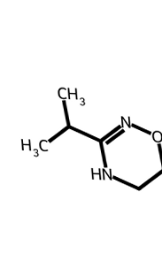 CC(C)C1=NOCCN1